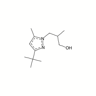 Cc1cc(C(C)(C)C)nn1CC(C)CO